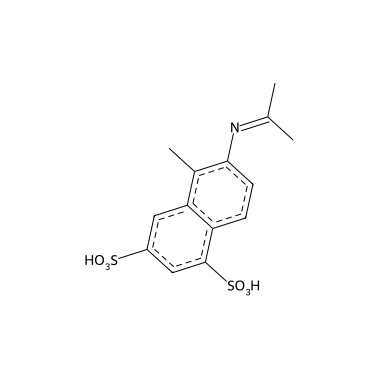 CC(C)=Nc1ccc2c(S(=O)(=O)O)cc(S(=O)(=O)O)cc2c1C